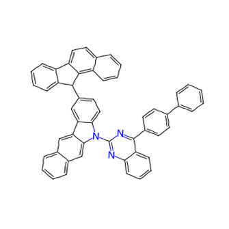 c1ccc(-c2ccc(-c3nc(-n4c5ccc(C6c7ccccc7-c7ccc8ccccc8c76)cc5c5cc6ccccc6cc54)nc4ccccc34)cc2)cc1